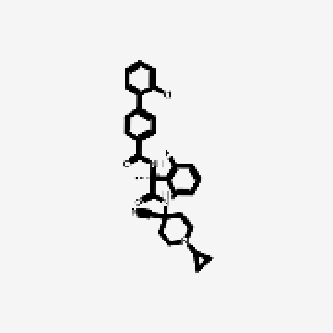 C[C@@](NC(=O)c1ccc(-c2ccccc2Cl)cc1)(C(=O)NC1(C#N)CCN(C2CC2)CC1)c1c(F)cccc1F